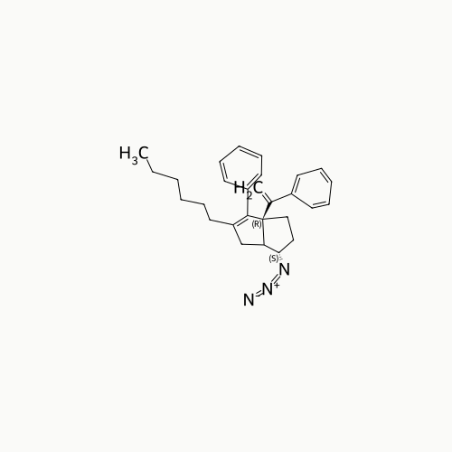 C=C(c1ccccc1)[C@@]12CC[C@H](N=[N+]=[N-])C1CC(CCCCCC)=C2c1ccccc1